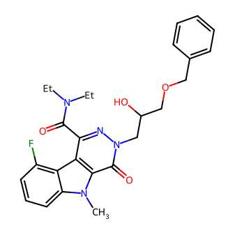 CCN(CC)C(=O)c1nn(CC(O)COCc2ccccc2)c(=O)c2c1c1c(F)cccc1n2C